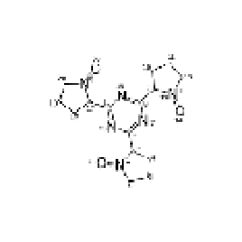 O=[N+]1CCCC1c1nc(C2CCC[N+]2=O)nc(C2CCC[N+]2=O)n1